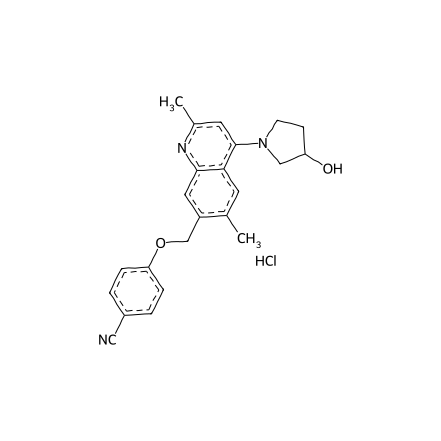 Cc1cc(N2CCC(O)C2)c2cc(C)c(COc3ccc(C#N)cc3)cc2n1.Cl